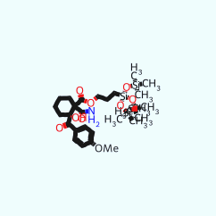 COc1ccc(C(=O)C2(O)CCCCC2(C(N)=O)C(=O)OCCC[Si](O[Si](C)(C)C)(O[Si](C)(C)C)O[Si](C)(C)C)cc1